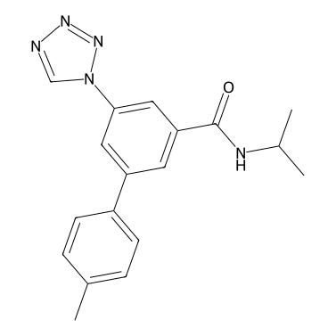 Cc1ccc(-c2cc(C(=O)NC(C)C)cc(-n3cnnn3)c2)cc1